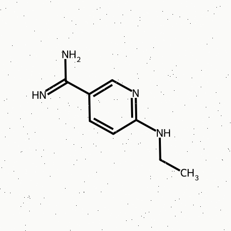 CCNc1ccc(C(=N)N)cn1